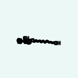 Cn1c(-c2ccccc2)cc2ccc(OCCCCCCCCCCCCO)cc21